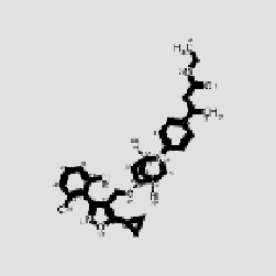 CCOC(=O)CC(C)c1ccc(N2C[C@@H]3C[C@H]2C[C@H]3OCc2c(-c3c(Cl)cccc3Cl)noc2C2CC2)cc1